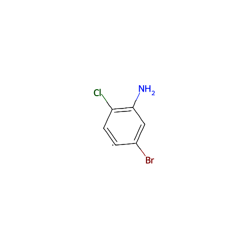 Nc1cc(Br)[c]cc1Cl